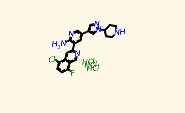 Cl.Cl.Cl.Nc1ncc(-c2cnn(C3CCNCC3)c2)cc1-c1cc2c(Cl)ccc(F)c2cn1